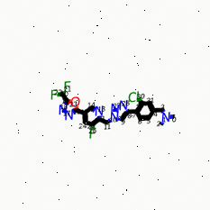 CN(C)Cc1ccc(-c2cn(Cc3ncc(-c4nnc(C(F)F)o4)cc3F)nn2)c(Cl)c1